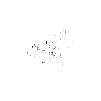 CCC(C)OP(OC(C)CC)OC(C)CC.CCC(C)OP(OC(C)CC)OC(C)CC.CCC(C)OP(OC(C)CC)OC(C)CC.[Cl][Ru]